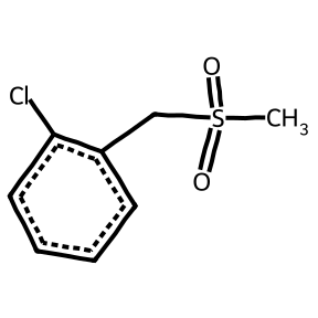 CS(=O)(=O)Cc1ccccc1Cl